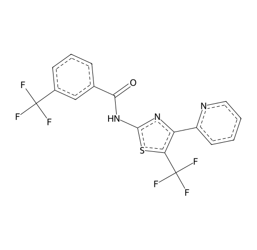 O=C(Nc1nc(-c2ccccn2)c(C(F)(F)F)s1)c1cccc(C(F)(F)F)c1